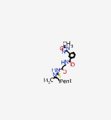 CCCC(C)c1sc(NC(=O)CCNC(=O)c2cccc(-c3noc(C)n3)c2)nc1C